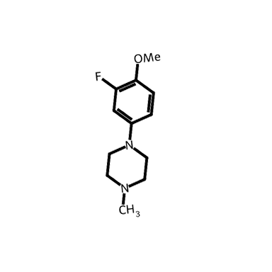 COc1ccc(N2CCN(C)CC2)cc1F